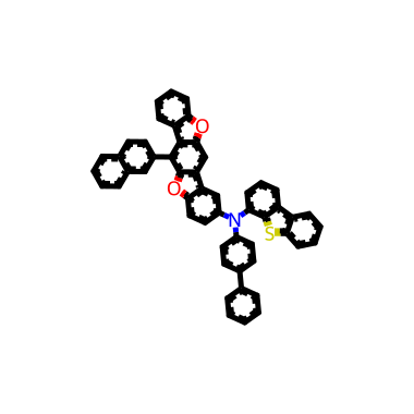 c1ccc(-c2ccc(N(c3ccc4oc5c(-c6ccc7ccccc7c6)c6c(cc5c4c3)oc3ccccc36)c3cccc4c3sc3ccccc34)cc2)cc1